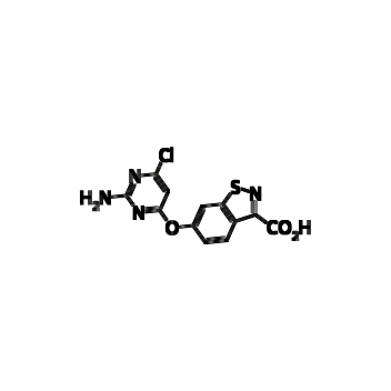 Nc1nc(Cl)cc(Oc2ccc3c(C(=O)O)nsc3c2)n1